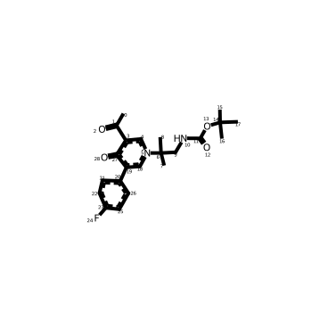 CC(=O)c1cn(C(C)(C)CNC(=O)OC(C)(C)C)cc(-c2ccc(F)cc2)c1=O